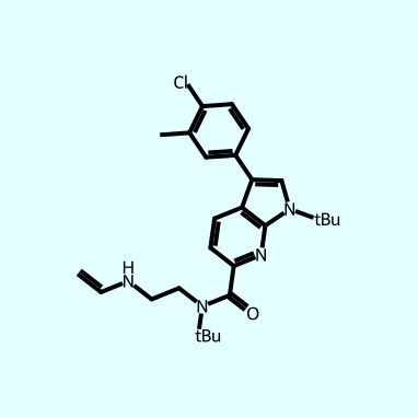 C=CNCCN(C(=O)c1ccc2c(-c3ccc(Cl)c(C)c3)cn(C(C)(C)C)c2n1)C(C)(C)C